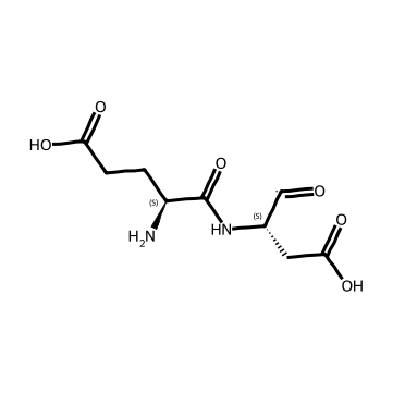 N[C@@H](CCC(=O)O)C(=O)N[C@H]([C]=O)CC(=O)O